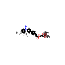 Cc1ccc(NC2C=CC(c3ccc(CCC(=O)OCCC[Si](OC(C)C)(OC(C)C)OC(C)C)cc3)=CC2)cc1C